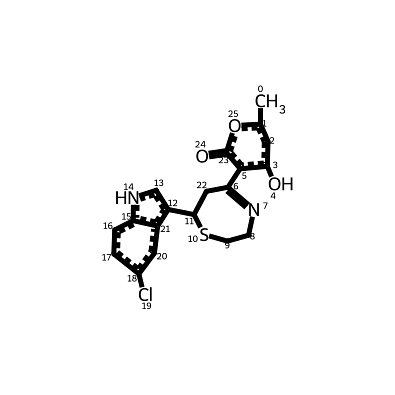 Cc1cc(O)c(C2=NCCSC(c3c[nH]c4ccc(Cl)cc34)C2)c(=O)o1